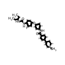 CCC(CC)NC(=O)Nc1ccc(Oc2ccc(NC(=O)c3ccc(C4=CCN(C)CC4)cc3)cc2)cc1F